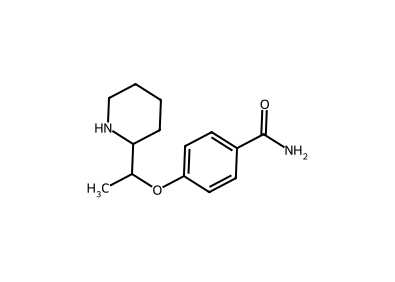 CC(Oc1ccc(C(N)=O)cc1)C1CCCCN1